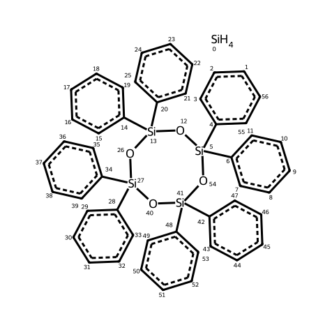 [SiH4].c1ccc([Si]2(c3ccccc3)O[Si](c3ccccc3)(c3ccccc3)O[Si](c3ccccc3)(c3ccccc3)O[Si](c3ccccc3)(c3ccccc3)O2)cc1